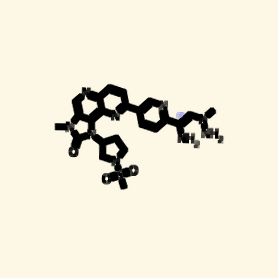 CN(N)/C=C(\N)c1ccc(-c2ccc3ncc4c(c3n2)n(C2CCN(S(C)(=O)=O)C2)c(=O)n4C)cn1